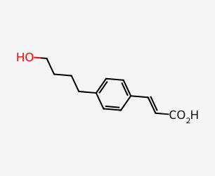 O=C(O)C=Cc1ccc(CCCCO)cc1